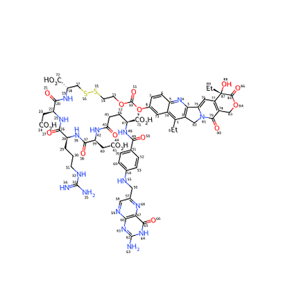 CCc1c2c(nc3ccc(OC(=O)OCCSSC[C@H](NC(=O)[C@H](CC(=O)O)NC(=O)[C@H](CCCNC(=N)N)NC(=O)[C@H](CC(=O)O)NC(=O)CC[C@H](NC(=O)c4ccc(NCc5cnc6nc(N)[nH]c(=O)c6n5)cc4)C(=O)O)C(=O)O)cc13)-c1cc3c(c(=O)n1C2)COC(=O)[C@]3(O)CC